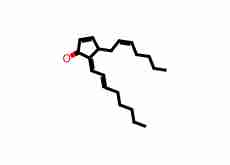 CCCC/C=C\CC1C=CC(=O)/C1=C/C=C/CCCCC